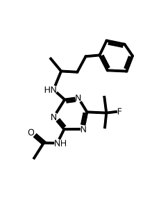 CC(=O)Nc1nc(NC(C)CCc2ccccc2)nc(C(C)(C)F)n1